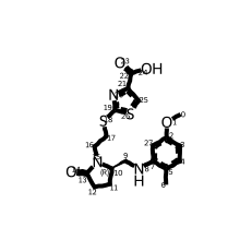 COc1ccc(C)c(NC[C@H]2CCC(=O)N2CCSc2nc(C(=O)O)cs2)c1